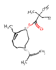 C=C(C)[C@@H]1CC=C(C)[C@H](OC(=O)C(C)(C)CC)C1